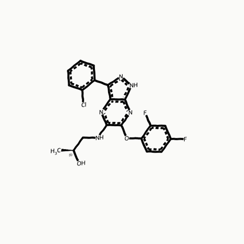 C[C@H](O)CNc1nc2c(-c3ccccc3Cl)n[nH]c2nc1Oc1ccc(F)cc1F